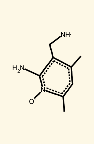 Cc1cc(C)[n+]([O-])c(N)c1C[NH]